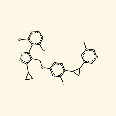 Cc1cncc(C2CC2c2ccc(OCc3c(-c4c(Cl)cccc4Cl)noc3C3CC3)cc2Cl)c1